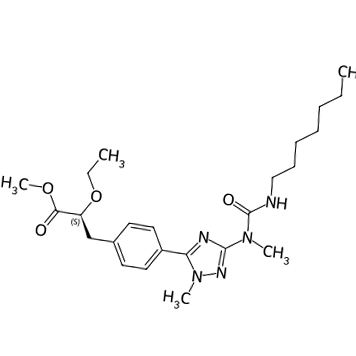 CCCCCCCNC(=O)N(C)c1nc(-c2ccc(C[C@H](OCC)C(=O)OC)cc2)n(C)n1